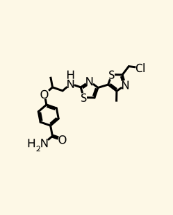 Cc1nc(CCl)sc1-c1csc(NCC(C)Oc2ccc(C(N)=O)cc2)n1